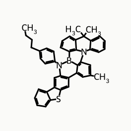 CCCCc1ccc(N2B3c4cccc5c4N(c4ccccc4C5(C)C)c4cc(C)cc(c43)-c3cc4sc5ccccc5c4cc32)cc1